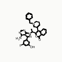 CC(c1oc(=O)c2ccccc2c1C1=CCCN(Cc2ccccc2)C1)n1nc(-c2cc(O)cc(F)c2)c2c(N)ncnc21